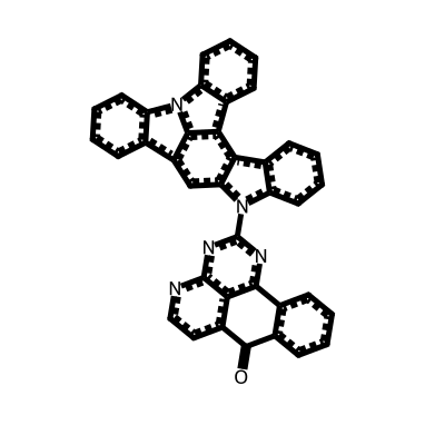 O=C1c2ccccc2-c2nc(-n3c4ccccc4c4c5c6ccccc6n6c7ccccc7c(cc43)c56)nc3nccc1c23